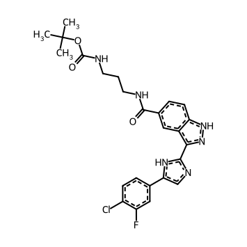 CC(C)(C)OC(=O)NCCCNC(=O)c1ccc2[nH]nc(-c3ncc(-c4ccc(Cl)c(F)c4)[nH]3)c2c1